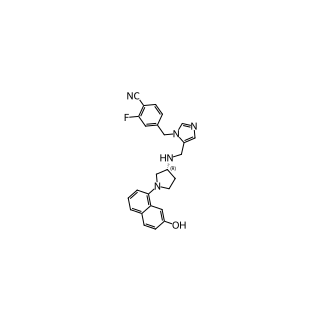 N#Cc1ccc(Cn2cncc2CN[C@@H]2CCN(c3cccc4ccc(O)cc34)C2)cc1F